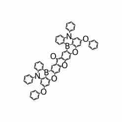 O=c1c2cc3c(cc2oc2cc4c(cc12)B1c2ccccc2N(c2ccccc2)c2cc(Oc5ccccc5)cc(c21)O4)Oc1cc(Oc2ccccc2)cc2c1B3c1ccccc1N2c1ccccc1